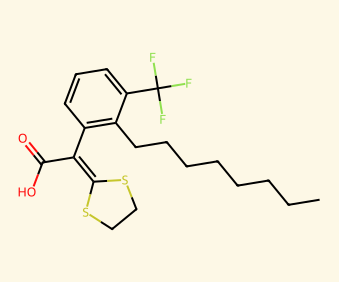 CCCCCCCCc1c(C(C(=O)O)=C2SCCS2)cccc1C(F)(F)F